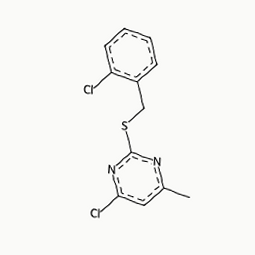 Cc1cc(Cl)nc(SCc2ccccc2Cl)n1